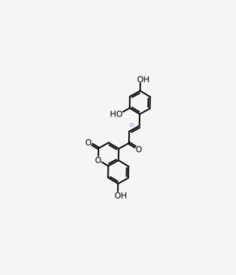 O=C(/C=C/c1ccc(O)cc1O)c1cc(=O)oc2cc(O)ccc12